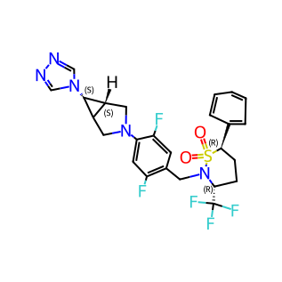 O=S1(=O)[C@@H](c2ccccc2)CC[C@H](C(F)(F)F)N1Cc1cc(F)c(N2CC3[C@@H](C2)[C@H]3n2cnnc2)cc1F